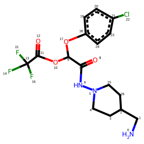 NCC1CCN(NC(=O)C(OC(=O)C(F)(F)F)Oc2ccc(Cl)cc2)CC1